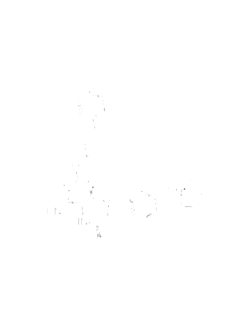 Nc1nc(OCCOc2ccccc2)nc2c1NC(=O)CN2Cc1cccc(CN2CCCC2)c1